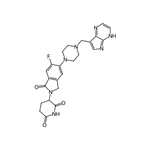 O=C1CCC(N2Cc3cc(N4CCN(Cc5cnc6[nH]ccnc5-6)CC4)c(F)cc3C2=O)C(=O)N1